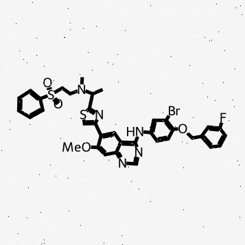 COc1cc2ncnc(Nc3ccc(OCc4cccc(F)c4)c(Br)c3)c2cc1-c1csc(C(C)N(C)CCS(=O)(=O)c2ccccc2)n1